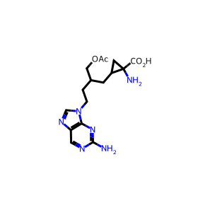 CC(=O)OCC(CCn1cnc2cnc(N)nc21)CC1CC1(N)C(=O)O